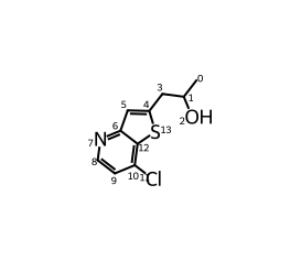 CC(O)Cc1cc2nccc(Cl)c2s1